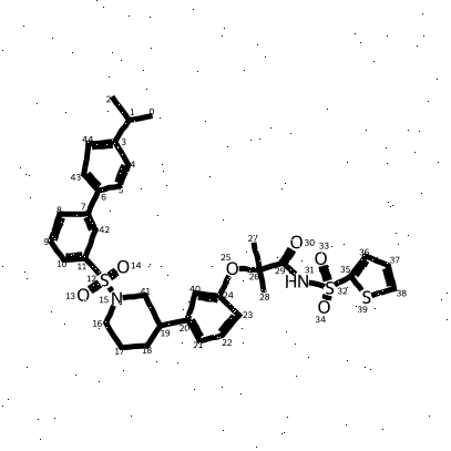 CC(C)c1ccc(-c2cccc(S(=O)(=O)N3CCCC(c4cccc(OC(C)(C)C(=O)NS(=O)(=O)c5cccs5)c4)C3)c2)cc1